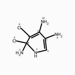 NC1=CNC(N)(Cl)C(Cl)=C1N